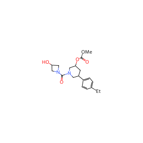 CCc1ccc(C2CC(OC(=O)OC)CN(C(=O)N3CC(O)C3)C2)cc1